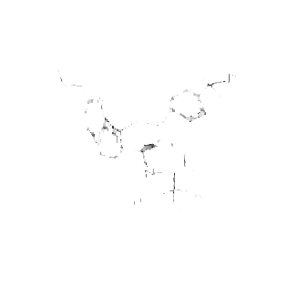 CC(C)(C)C(NC(=O)c1ccc2sc(C3CCCC3)nc2c1OCc1ccc(C(F)(F)F)cc1)C(=O)O